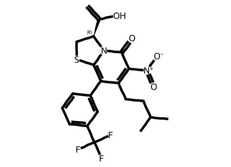 C=C(O)[C@@H]1CSc2c(-c3cccc(C(F)(F)F)c3)c(CCC(C)C)c([N+](=O)[O-])c(=O)n21